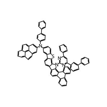 c1ccc(-c2ccc(N(c3cc4ccc5cccc6ccc(c3)c4c56)c3ccc4sc5c(ccc6c7ccc8c9ccccc9c9ccccc9c8c7n(-c7nc(-c8ccccc8)cc(-c8cccc(-c9ccccc9)c8)n7)c65)c4c3)cc2)cc1